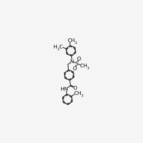 Cc1ccc(N(Cc2ccc(C(=O)Nc3ccccc3C)cc2)S(C)(=O)=O)cc1C